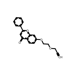 C#CCOCCOc1ccc2c(=O)cc(-c3ccccc3)oc2c1